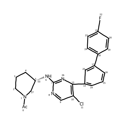 CC(=O)N1CCC[C@H](Nc2ncc(Cl)c(-c3cccc(-c4ccc(F)cc4)c3)n2)C1